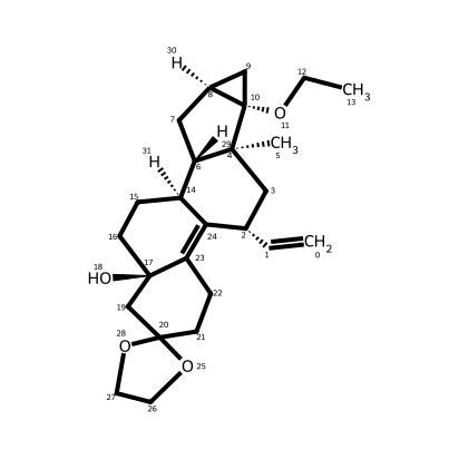 C=C[C@H]1C[C@@]2(C)[C@@H](C[C@H]3C[C@]32OCC)[C@@H]2CC[C@@]3(O)CC4(CCC3=C21)OCCO4